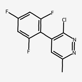 Cc1cc(-c2c(F)cc(F)cc2F)c(Cl)nn1